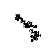 N=C(NCCC[C@H](NC(=O)CCCCC1CCSS1)C(=O)O)N[N+](=O)[O-]